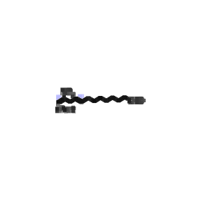 CCCCC/C=C(\C/C=C/CCCCCCC[C]=O)[N+](=O)[O-]